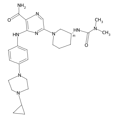 CN(C)C(=O)N[C@@H]1CCCN(c2cnc(C(N)=O)c(Nc3ccc(N4CCN(C5CC5)CC4)cc3)n2)C1